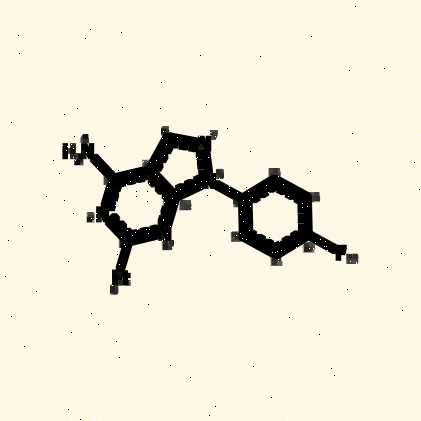 CCc1nc(N)c2cnn(-c3ccc(F)cc3)c2n1